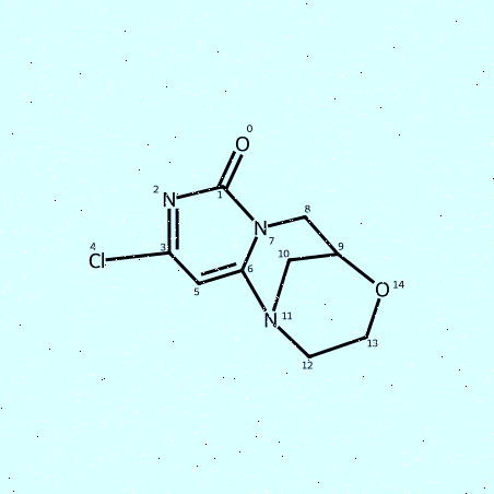 O=c1nc(Cl)cc2n1CC1CN2CCO1